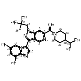 O=C(c1cc2c(cn1)c(-c1cnc3c(F)cc(F)cn13)nn2CC(F)(F)F)N1CCC(C(F)F)CC1